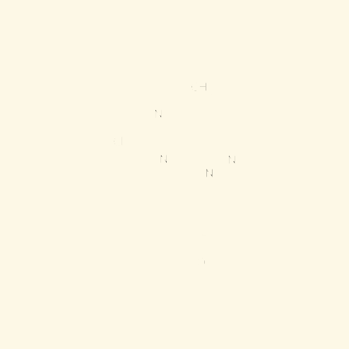 Cc1nc(Cl)nc2c1cnn2C1CC(=O)C1